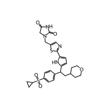 O=C1CN(Cc2cnc(-c3ccc(C(CC4CCOCC4)c4ccc(S(=O)(=O)C5CC5)cc4)[nH]3)s2)C(=O)N1